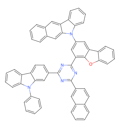 c1ccc(-n2c3ccccc3c3ccc(-c4nc(-c5ccc6ccccc6c5)nc(-c5cc(-n6c7ccccc7c7cc8ccccc8cc76)cc6c5oc5ccccc56)n4)cc32)cc1